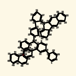 c1ccc(-c2ccc(N(c3ccc(-c4ccccc4-n4c5ccccc5c5cc6ccccc6cc54)cc3)c3cccc(-c4cccc5ccccc45)c3)c(-c3ccccc3)c2)cc1